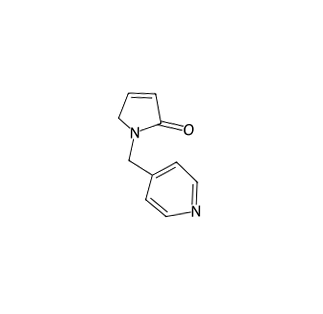 O=C1C=CCN1Cc1ccncc1